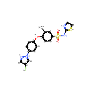 N#Cc1cc(S(=O)(=O)Nc2nccs2)ccc1Oc1ccc(-n2cc(F)cn2)cc1